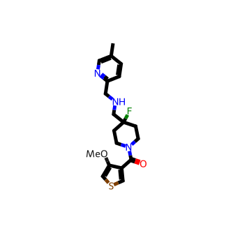 COc1cscc1C(=O)N1CCC(F)(CNCc2ccc(C)cn2)CC1